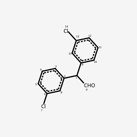 O=CC(c1cccc(Cl)c1)c1cccc(Cl)c1